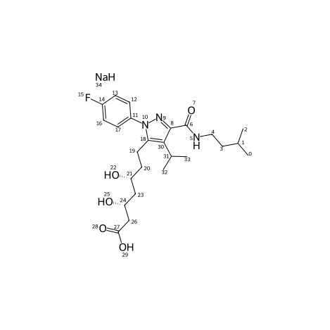 CC(C)CCNC(=O)c1nn(-c2ccc(F)cc2)c(CC[C@@H](O)C[C@@H](O)CC(=O)O)c1C(C)C.[NaH]